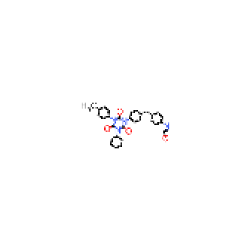 Cc1ccc(-n2c(=O)n(-c3ccccc3)c(=O)n(-c3ccc(Cc4ccc(N=C=O)cc4)cc3)c2=O)cc1